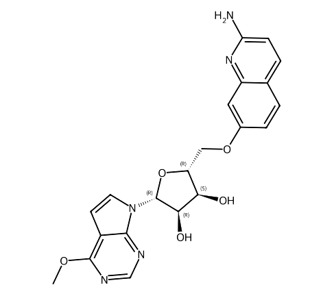 COc1ncnc2c1ccn2[C@@H]1O[C@H](COc2ccc3ccc(N)nc3c2)[C@@H](O)[C@H]1O